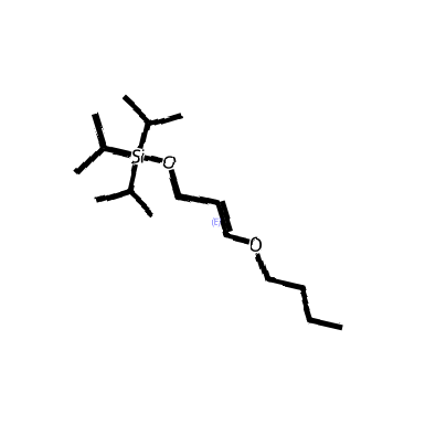 CCCCO/C=C/CO[Si](C(C)C)(C(C)C)C(C)C